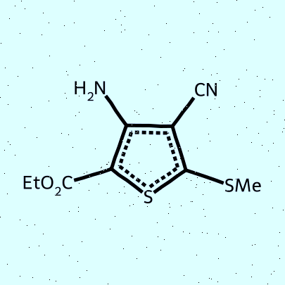 CCOC(=O)c1sc(SC)c(C#N)c1N